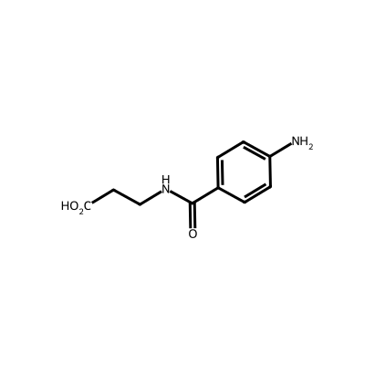 Nc1ccc(C(=O)NCCC(=O)O)cc1